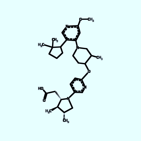 COc1cc(N2CCC(Oc3ccc(N4C[C@H](C)[C@@H](C)[C@@H]4CC(=O)O)cn3)C(C)C2)c(C2CCCC2(C)C)cn1